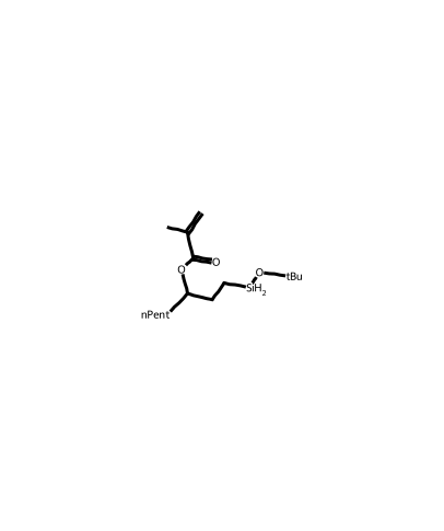 C=C(C)C(=O)OC(CCCCC)CC[SiH2]OC(C)(C)C